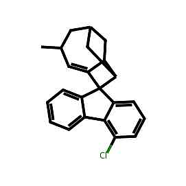 CC1C=C2C3CC(C1)CC3C21c2ccccc2-c2c(Cl)cccc21